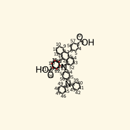 O=C(O)c1ccc(-c2c3ccccc3c(-c3ccc(C(=O)O)cc3)c3c(N(c4ccccc4)c4ccc(N(c5ccccc5)c5ccccc5)cc4)cccc23)cc1